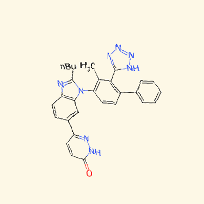 CCCCc1nc2ccc(-c3ccc(=O)[nH]n3)cc2n1-c1ccc(-c2ccccc2)c(-c2nnn[nH]2)c1C